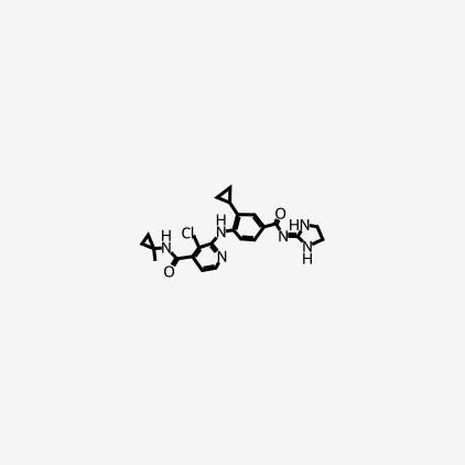 CC1(NC(=O)c2ccnc(Nc3ccc(C(=O)N=C4NCCN4)cc3C3CC3)c2Cl)CC1